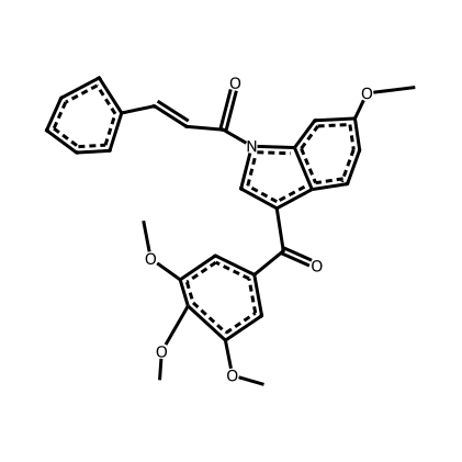 COc1ccc2c(C(=O)c3cc(OC)c(OC)c(OC)c3)cn(C(=O)/C=C/c3ccccc3)c2c1